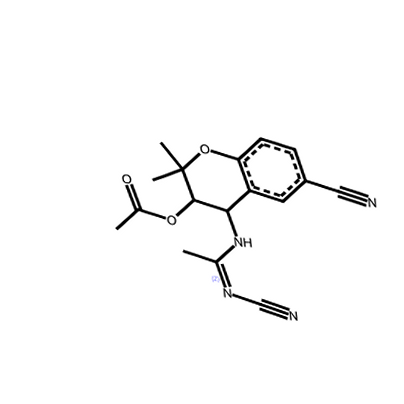 CC(=O)OC1C(N/C(C)=N\C#N)c2cc(C#N)ccc2OC1(C)C